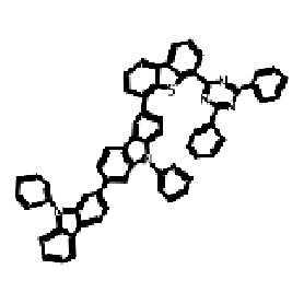 c1ccc(-c2nc(-c3ccccc3)nc(-c3cccc4c3sc3c(-c5ccc6c(c5)c5ccc(-c7ccc8c9ccccc9n(-c9ccccc9)c8c7)cc5n6-c5ccccc5)cccc34)n2)cc1